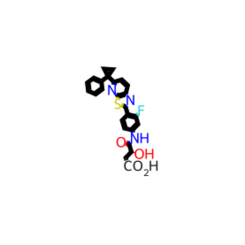 O=C(O)C[C@@H](O)C(=O)Nc1ccc(-c2nc3ccc(C4(c5ccccc5)CC4)nc3s2)c(F)c1